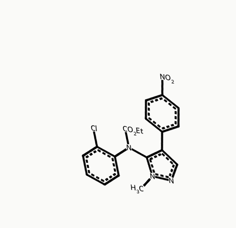 CCOC(=O)N(c1ccccc1Cl)c1c(-c2ccc([N+](=O)[O-])cc2)cnn1C